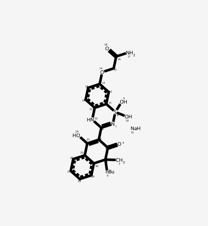 CCCCC1(C)C(=O)C(C2=NS(O)(O)c3cc(OCC(N)=O)ccc3N2)=C(O)c2ccccc21.[NaH]